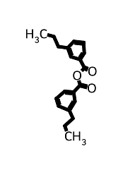 CCCc1cccc(C(=O)OC(=O)c2cccc(CCC)c2)c1